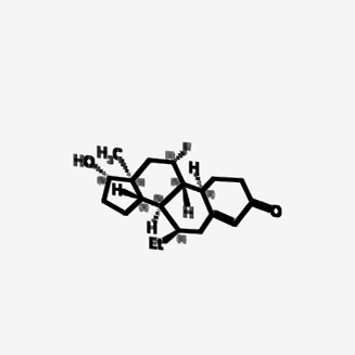 CC[C@@H]1CC2=CC(=O)CC[C@@H]2[C@@H]2[C@@H]1[C@@H]1CC[C@H](O)[C@@]1(C)C[C@@H]2F